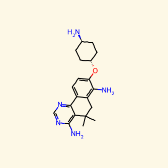 CC1(C)Cc2c(ccc(O[C@H]3CC[C@H](N)CC3)c2N)-c2ncnc(N)c21